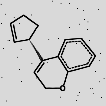 C1=C[C@@H](C2=CCOc3ccccc32)CC1